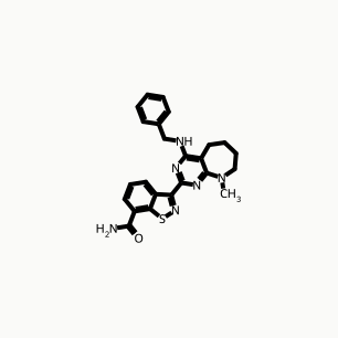 CN1CCCCc2c(NCc3ccccc3)nc(-c3nsc4c(C(N)=O)cccc34)nc21